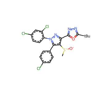 C[S+]([O-])c1c(-c2nnc(C(C)(C)C)o2)nn(-c2ccc(Cl)cc2Cl)c1-c1ccc(Cl)cc1